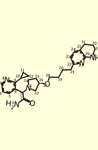 NC(=O)C(c1cccnc1C1CC1)N1CC[C@@H](OCCCCc2ccc3c(n2)NCCC3)C1